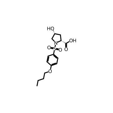 CCCCOc1ccc(S(=O)(=O)N2C[C@H](O)C[C@@H]2C(=O)O)cc1